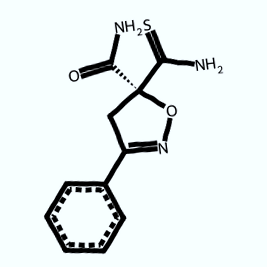 NC(=O)[C@@]1(C(N)=S)CC(c2ccccc2)=NO1